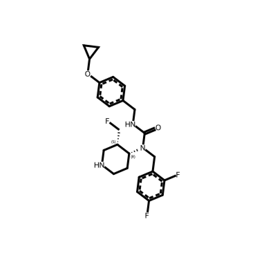 O=C(NCc1ccc(OC2CC2)cc1)N(Cc1ccc(F)cc1F)[C@@H]1CCNC[C@@H]1CF